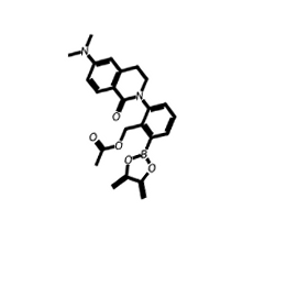 C=C1OB(c2cccc(N3CCc4cc(N(C)C)ccc4C3=O)c2COC(C)=O)OC1=C